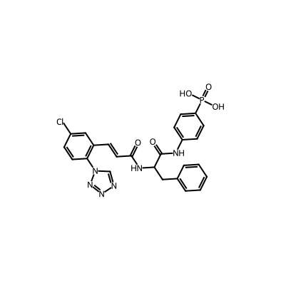 O=C(C=Cc1cc(Cl)ccc1-n1cnnn1)NC(Cc1ccccc1)C(=O)Nc1ccc(P(=O)(O)O)cc1